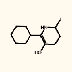 OC1=C(C2CCCCC2)NC(I)CC1